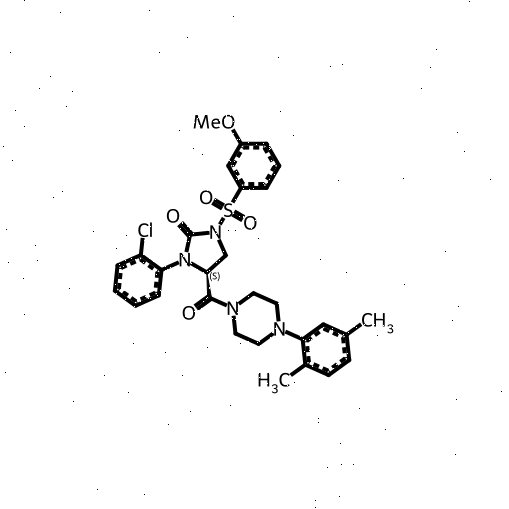 COc1cccc(S(=O)(=O)N2C[C@@H](C(=O)N3CCN(c4cc(C)ccc4C)CC3)N(c3ccccc3Cl)C2=O)c1